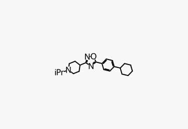 CC(C)N1CCC(c2noc(-c3ccc(C4CCCCC4)cc3)n2)CC1